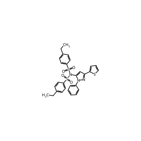 CCc1ccc(S(=O)(=O)N(c2cc(-c3cccs3)nn2-c2ccccc2)S(=O)(=O)c2ccc(CC)cc2)cc1